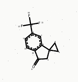 O=C1CC2(CC2)c2cc(C(F)(F)F)ccc21